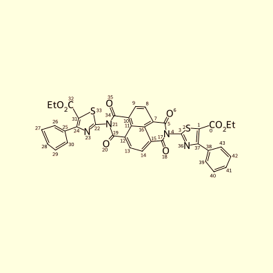 CCOC(=O)c1sc(N2C(=O)c3ccc4c5c(ccc(c35)C2=O)C(=O)N(c2nc(-c3ccccc3)c(C(=O)OCC)s2)C4=O)nc1-c1ccccc1